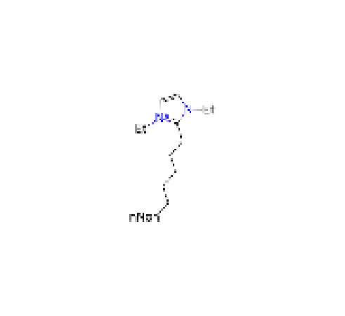 CCCCCCCCCCCCCCc1n(CC)cc[n+]1CC